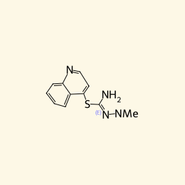 CN/N=C(\N)Sc1ccnc2ccccc12